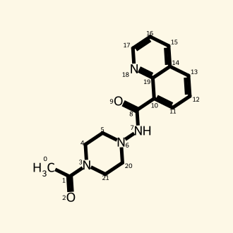 CC(=O)N1CCN(NC(=O)c2cccc3cccnc23)CC1